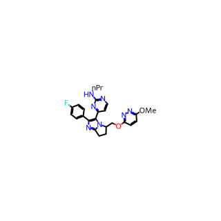 CCCNc1nccc(-c2c(-c3ccc(F)cc3)nc3n2C(COc2ccc(OC)nn2)CC3)n1